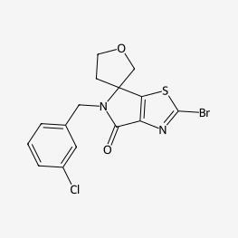 O=C1c2nc(Br)sc2C2(CCOC2)N1Cc1cccc(Cl)c1